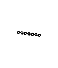 c1ccc(-c2ccc(-c3ccc(-c4ccc(-c5ccc(-c6ccc(-c7ccccc7)cc6)cc5)cc4)cc3)cc2)cc1